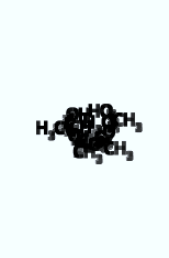 CC(C)(CO)COCC(C)(C)COCC(C)(C)COCC(C)(C)CO